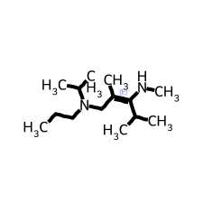 CCCN(C/C(C)=C(/NC)C(C)C)C(C)C